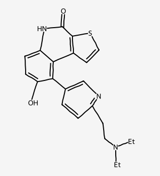 CCN(CC)CCc1ccc(-c2c(O)ccc3[nH]c(=O)c4sccc4c23)cn1